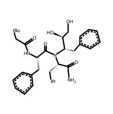 CC(C)C[C@@H](C(N)=O)N(C(=O)[C@H](Cc1ccccc1)NC(=O)CC(C)(C)C)[C@@H](Cc1ccccc1)[C@@H](O)CO